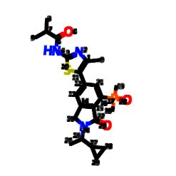 Cc1nc(NC(=O)C(C)C)sc1-c1cc2c(c(P(C)(C)=O)c1)C(=O)N(C(C)C1CC1)C2